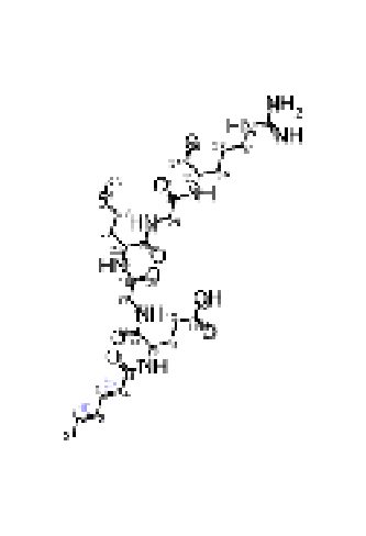 C/C=C/C=C/C(=O)NC(CCC(=O)O)C(=O)NCC(=O)NC(CCSC)C(=O)NCC(=O)NC(C=O)CCCNC(=N)N